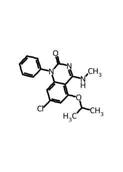 CNc1nc(=O)n(-c2ccccc2)c2cc(Cl)cc(OC(C)C)c12